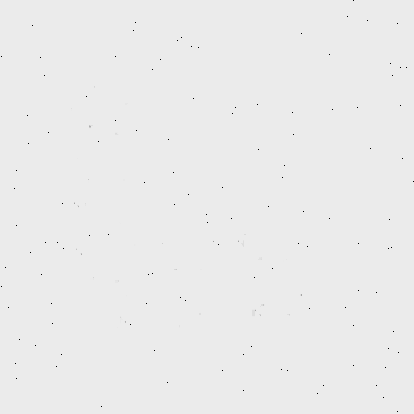 Cc1c(-c2cc3cc(NC(=O)O[C@@H]4CCOC4)ncc3c(N)c2F)cnc2c1NCC(CO)C2